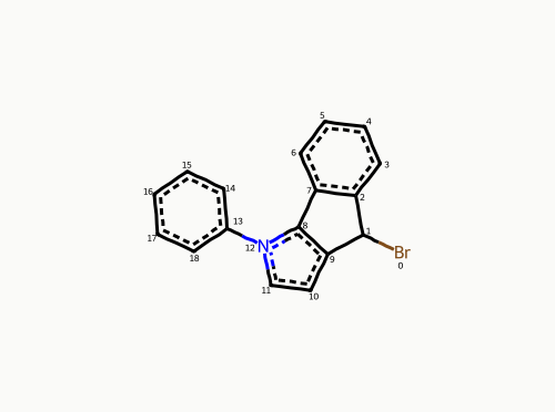 BrC1c2ccccc2-c2c1ccn2-c1ccccc1